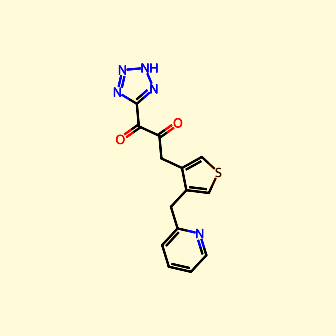 O=C(Cc1cscc1Cc1ccccn1)C(=O)c1nn[nH]n1